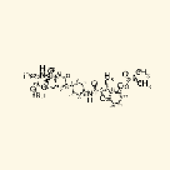 Cc1c(C(=O)Nc2ccc(-c3ccc(S(=O)(=O)N[C@H](C(=O)OC(C)(C)C)C(C)C)cc3)cc2)oc2cccc(OCC(=O)N(C)C)c12